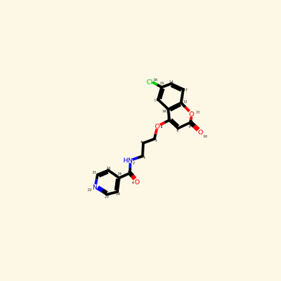 O=C(NCCCOc1cc(=O)oc2ccc(Cl)cc12)c1ccncc1